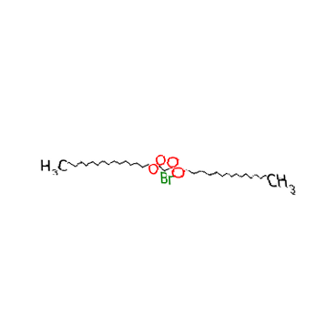 CCCCCCCCCCCCCCCCOC(=O)C(Br)C(=O)OCCCCCCCCCCCCCCCC